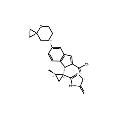 C[C@@H]1C[C@@]1(c1noc(=O)[nH]1)n1c(C(=O)O)cc2cc([C@H]3CCOC4(CC4)C3)ccc21